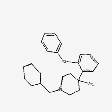 CC(=O)C1(c2ccccc2Oc2ccccc2)CCN(CC2CCCCC2)CC1